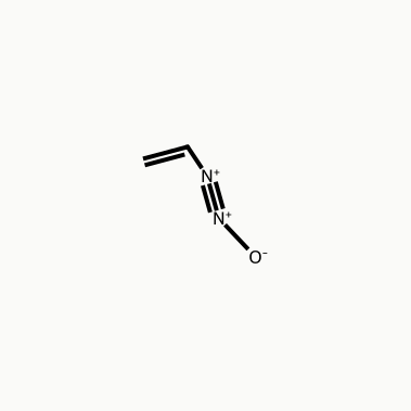 C=C[N+]#[N+][O-]